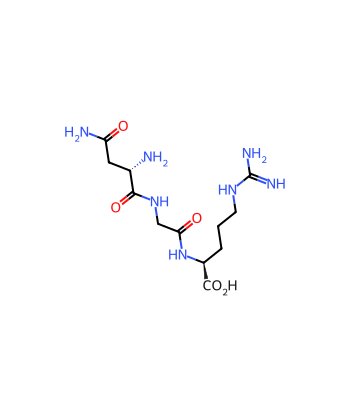 N=C(N)NCCC[C@H](NC(=O)CNC(=O)[C@@H](N)CC(N)=O)C(=O)O